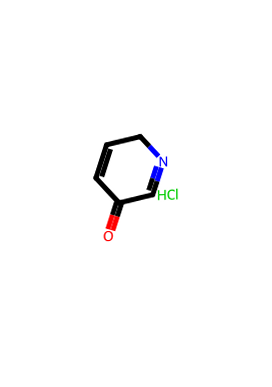 Cl.O=C1C=CCN=C1